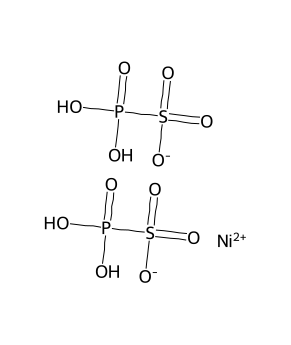 O=P(O)(O)S(=O)(=O)[O-].O=P(O)(O)S(=O)(=O)[O-].[Ni+2]